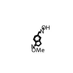 CON=C1CCc2cc(C=NO)ccc21